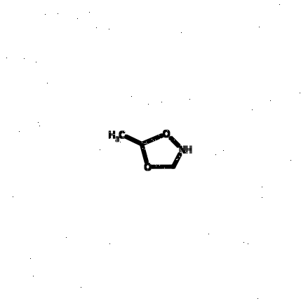 CC1OCNO1